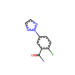 O=C(I)c1cc(-n2nccn2)ccc1F